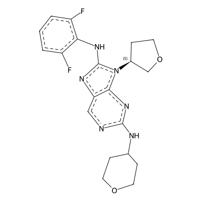 Fc1cccc(F)c1Nc1nc2cnc(NC3CCOCC3)nc2n1[C@H]1CCOC1